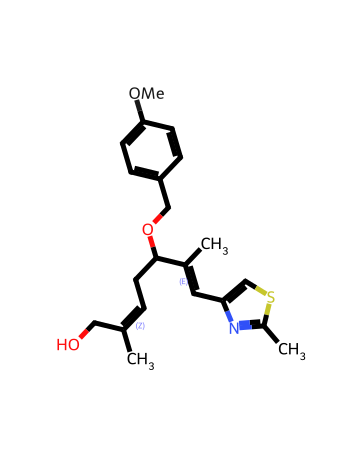 COc1ccc(COC(C/C=C(/C)CO)/C(C)=C/c2csc(C)n2)cc1